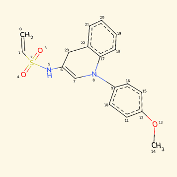 C=CS(=O)(=O)NC1=CN(c2ccc(OC)cc2)c2ccccc2C1